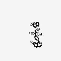 O=c1cc(NC[C@@H](O)[C@@H](O)C2CCN(c3nccc4ccc(F)cc34)CC2)c2ccccc2o1